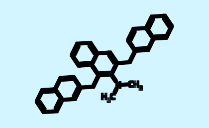 CN(C)c1c(Cc2ccc3ccccc3c2)cc2ccccc2c1Cc1ccc2ccccc2c1